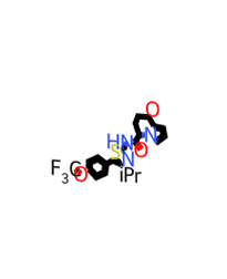 CC(C)c1nc(NC(=O)C2CCC(=O)c3cccn32)sc1-c1ccc(OC(F)(F)F)cc1